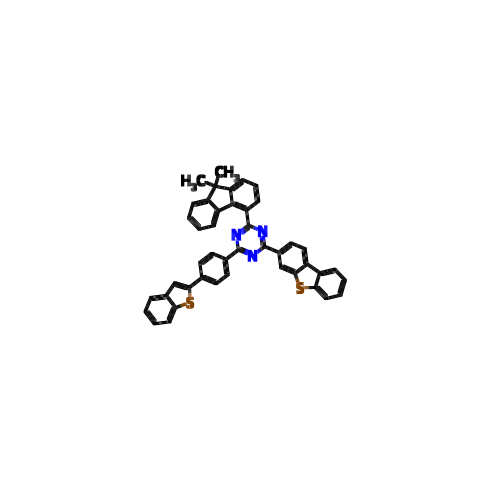 CC1(C)c2ccccc2-c2c(-c3nc(-c4ccc(-c5cc6ccccc6s5)cc4)nc(-c4ccc5c(c4)sc4ccccc45)n3)cccc21